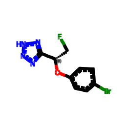 FC[C@H](Oc1ccc(Br)cc1)c1nn[nH]n1